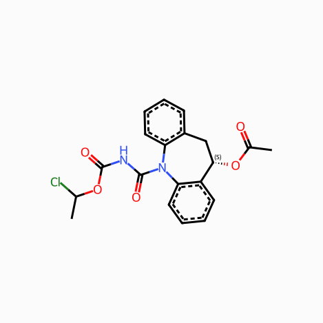 CC(=O)O[C@H]1Cc2ccccc2N(C(=O)NC(=O)OC(C)Cl)c2ccccc21